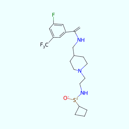 C=C(NCC1CCN(CCN[S+]([O-])C2CCC2)CC1)c1cc(F)cc(C(F)(F)F)c1